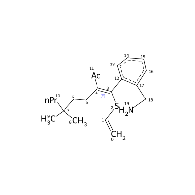 C=CS/C(=C(\CCC(C)(C)CCC)C(C)=O)c1ccccc1CN